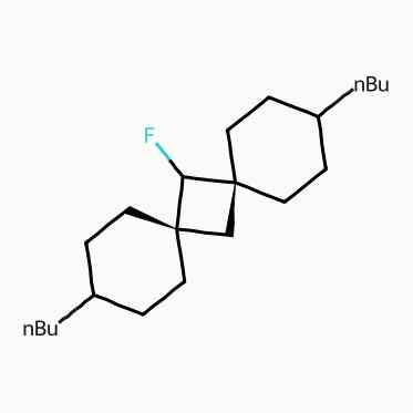 CCCCC1CC[C@]2(CC1)C[C@@]1(CCC(CCCC)CC1)C2F